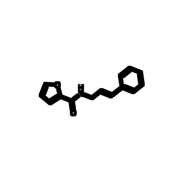 O=C(NCC=Cc1ccccc1)c1ccco1